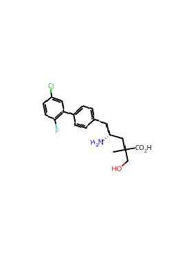 CC(CO)(C[C@H](N)Cc1ccc(-c2cc(Cl)ccc2F)cc1)C(=O)O